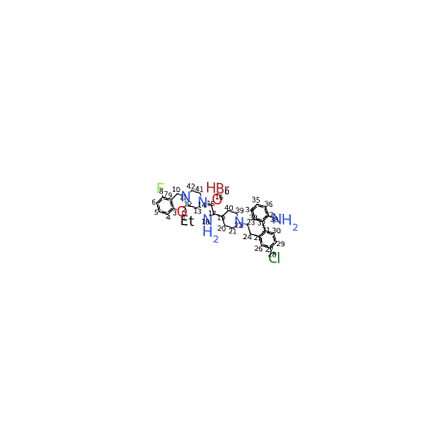 Br.CCOc1cccc(F)c1CN1CCN(C(=O)C(N)C2CCN(CCc3cc(Cl)ccc3-c3ccccc3N)CC2)CC1